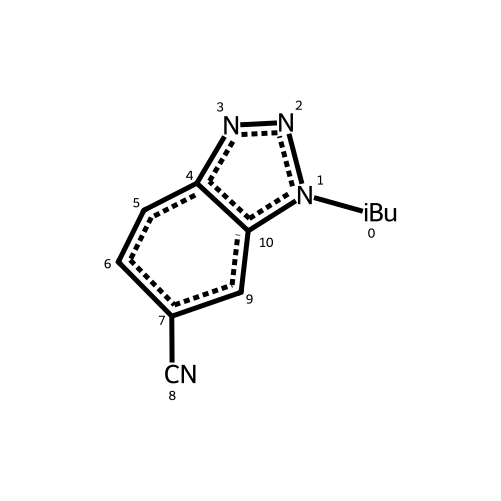 CCC(C)n1nnc2ccc(C#N)cc21